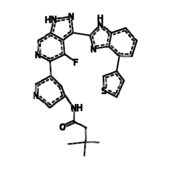 CC(C)(C)CC(=O)Nc1cncc(-c2ncc3[nH]nc(-c4nc5c(-c6ccsc6)cccc5[nH]4)c3c2F)c1